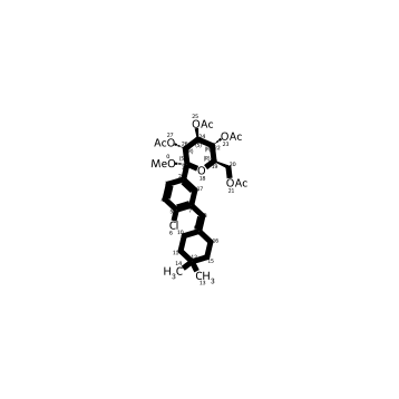 CO[C@@]1(c2ccc(Cl)c(C=C3CCC(C)(C)CC3)c2)O[C@H](COC(C)=O)[C@@H](OC(C)=O)[C@H](OC(C)=O)[C@H]1OC(C)=O